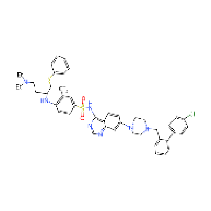 CCN(CC)CCC(CSc1ccccc1)Nc1ccc(S(=O)(=O)Nc2ncnc3cc(N4CCN(Cc5ccccc5-c5ccc(Cl)cc5)CC4)ccc23)cc1C(F)(F)F